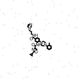 Cc1ccccc1N1CCN(c2ccc(C(=O)NCCCn3ccnc3)cc2NC(=O)c2coc(C3CC3)n2)CC1